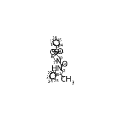 C[C@H](CNC(=O)N1CCC(S(=O)(=O)c2ccccc2)C1)c1ccccc1